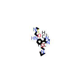 Cc1ncnc(C)c1-c1cc(NC(=O)Cc2nccs2)ccc1OCCN1CCC1